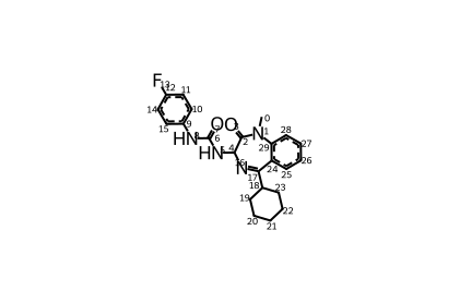 CN1C(=O)C(NC(=O)Nc2ccc(F)cc2)N=C(C2CCCCC2)c2ccccc21